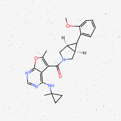 COc1ccccc1C1[C@H]2CN(C(=O)c3c(C)oc4ncnc(NC5(C)CC5)c34)C[C@@H]12